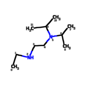 CCNCCN(C(C)C)C(C)C